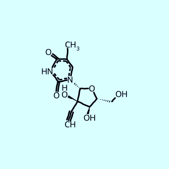 C#C[C@@]1(O)[C@H](O)[C@@H](CO)O[C@H]1n1cc(C)c(=O)[nH]c1=O